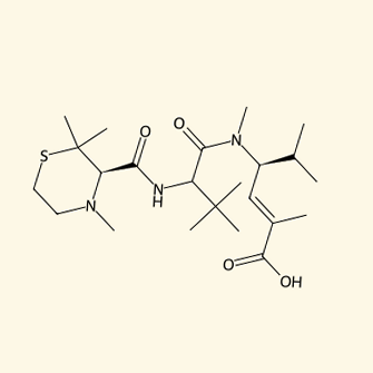 C/C(=C\[C@H](C(C)C)N(C)C(=O)C(NC(=O)[C@H]1N(C)CCSC1(C)C)C(C)(C)C)C(=O)O